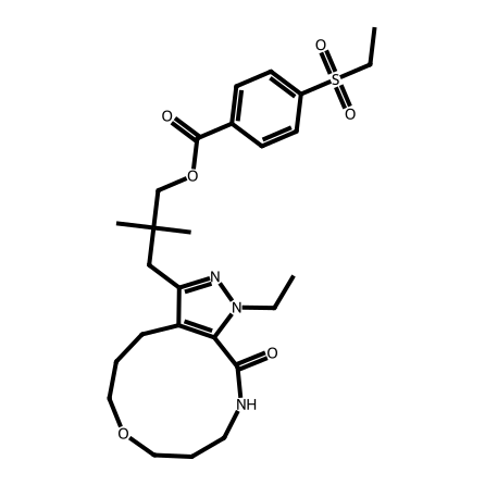 CCn1nc(CC(C)(C)COC(=O)c2ccc(S(=O)(=O)CC)cc2)c2c1C(=O)NCCCOCCC2